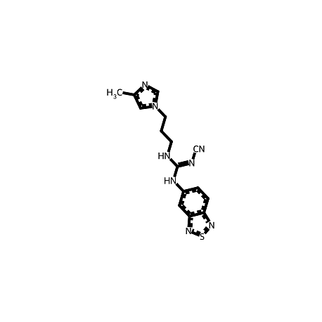 Cc1cn(CCCNC(=NC#N)Nc2ccc3nsnc3c2)cn1